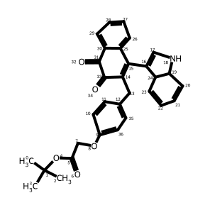 CC(C)(C)OC(=O)COc1ccc(CC2=C(C3=CNC4C=CC=CC34)c3ccccc3C(=O)C2=O)cc1